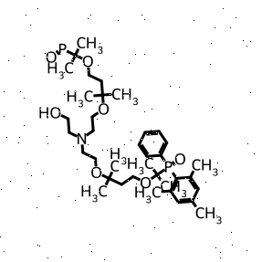 Cc1cc(C)c(P(=O)(c2ccccc2)C(C)(C)OCCC(C)(C)OCCN(CCO)CCOC(C)(C)CCOC(C)(C)P=O)c(C)c1